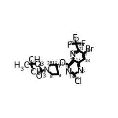 CC(C)(C)OC(=O)N1CC[C@@H](Oc2nc(Cl)nc3cc(Br)c(C(F)(F)F)nc23)C1